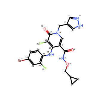 O=C(NOCC1CC1)c1cn(Cc2cn[nH]c2)c(=O)c(F)c1Nc1ccc(Br)cc1F